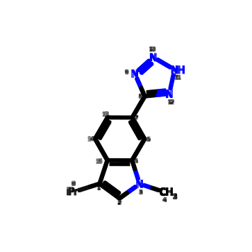 CC(C)c1cn(C)c2cc(-c3nn[nH]n3)ccc12